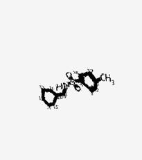 Cc1ccc(S(=O)(=O)NCC2CCCCC2)cc1